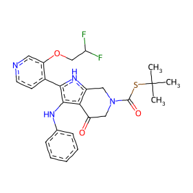 CC(C)(C)SC(=O)N1CC(=O)c2c([nH]c(-c3ccncc3OCC(F)F)c2Nc2ccccc2)C1